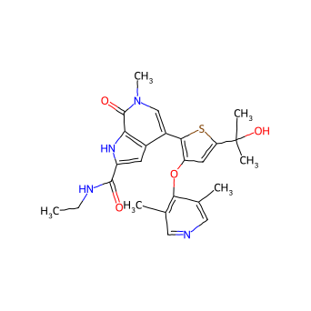 CCNC(=O)c1cc2c(-c3sc(C(C)(C)O)cc3Oc3c(C)cncc3C)cn(C)c(=O)c2[nH]1